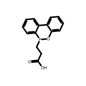 O=C(O)CCP1Oc2ccccc2-c2ccccc21